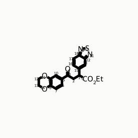 CCOC(=O)C(CC(=O)c1ccc2c(c1)OCCO2)c1ccc2nsnc2c1